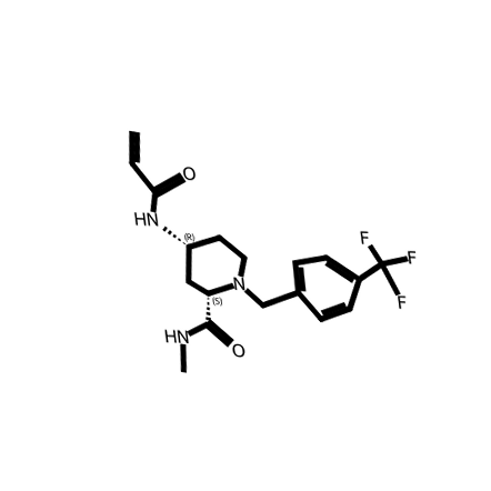 C=CC(=O)N[C@@H]1CCN(Cc2ccc(C(F)(F)F)cc2)[C@H](C(=O)NC)C1